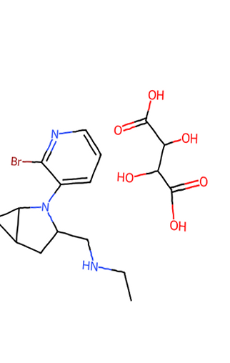 CCNCC1CC2CC2N1c1cccnc1Br.O=C(O)C(O)C(O)C(=O)O